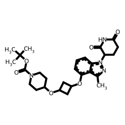 Cc1nn(C2CCC(=O)NC2=O)c2cccc(OC3CC(OC4CCN(C(=O)OC(C)(C)C)CC4)C3)c12